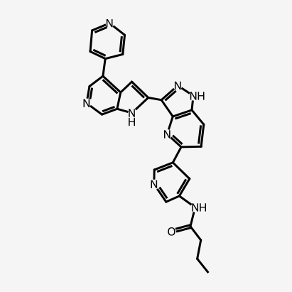 CCCC(=O)Nc1cncc(-c2ccc3[nH]nc(-c4cc5c(-c6ccncc6)cncc5[nH]4)c3n2)c1